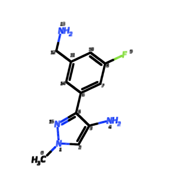 Cn1cc(N)c(-c2cc(F)cc(CN)c2)n1